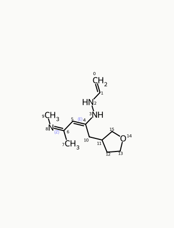 C=CNN/C(=C/C(C)=N\C)CC1CCOC1